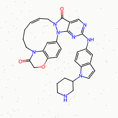 O=C1COc2ccc3cc2N1CCC/C=C\Cn1c(=O)c2cnc(Nc4ccc5c(ccn5C5CCCNC5)c4)nc2n1-3